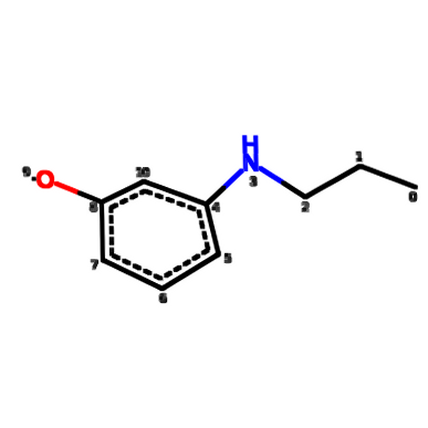 CCCNc1cccc([O])c1